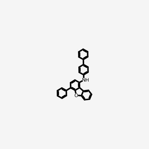 c1ccc(-c2ccc(Nc3ccc(-c4ccccc4)c4oc5ccccc5c34)cc2)cc1